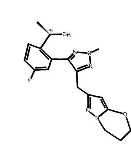 C[C@@H](O)c1ccc(F)cc1-c1nn(C)nc1Cc1cc2n(n1)CCCO2